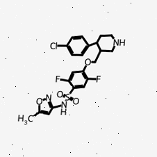 Cc1cc(NS(=O)(=O)c2cc(F)c(OCC3CNCCC3c3ccc(Cl)cc3)cc2F)no1